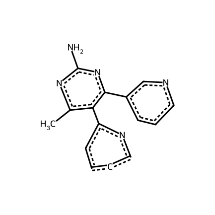 Cc1nc(N)nc(-c2cccnc2)c1-c1ccccn1